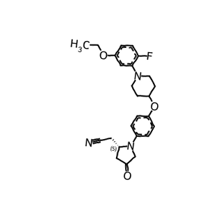 CCOc1ccc(F)c(N2CCC(Oc3ccc(N4CC(=O)C[C@@H]4CC#N)cc3)CC2)c1